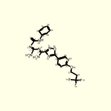 C=C(/N=C(N)\N=C(/N)c1noc(-c2ccc(OCCC(F)(F)F)nc2)n1)Nc1ccccc1